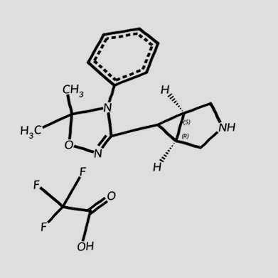 CC1(C)ON=C(C2[C@H]3CNC[C@@H]23)N1c1ccccc1.O=C(O)C(F)(F)F